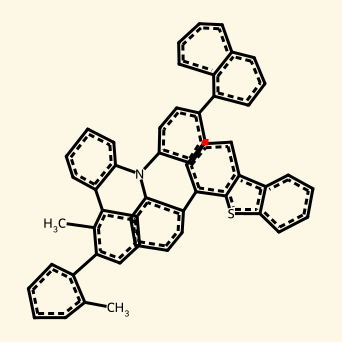 Cc1ccccc1-c1cccc(-c2ccccc2N(c2ccc(-c3cccc4ccccc34)cc2)c2ccccc2-c2cccc3c2sc2ccccc23)c1C